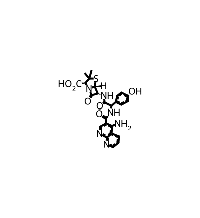 CC1(C)S[C@@H]2[C@H](NC(=O)C(NC(=O)c3cnc4ncccc4c3N)c3ccc(O)cc3)C(=O)N2[C@H]1C(=O)O